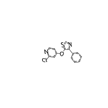 Clc1cc(Oc2scnc2-c2ccccc2)ccn1